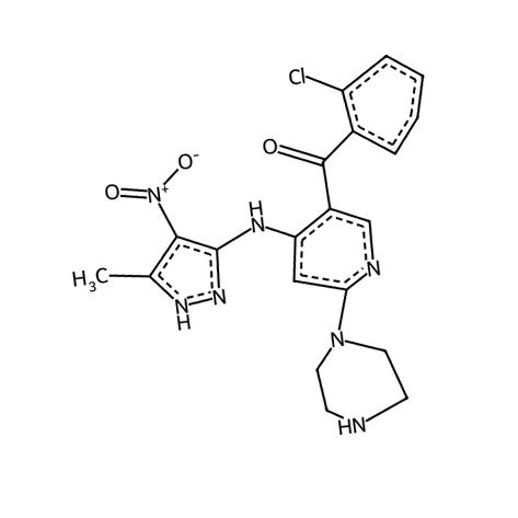 Cc1[nH]nc(Nc2cc(N3CCNCC3)ncc2C(=O)c2ccccc2Cl)c1[N+](=O)[O-]